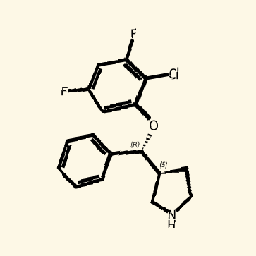 Fc1cc(F)c(Cl)c(O[C@@H](c2ccccc2)[C@H]2CCNC2)c1